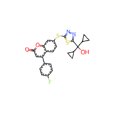 O=c1cc(-c2ccc(F)cc2)c2ccc(Sc3nnc(C(O)(C4CC4)C4CC4)s3)cc2o1